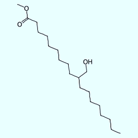 CCCCCCCCC(CO)CCCCCCCCC(=O)OC